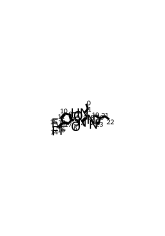 CCN/C(=N\S(=O)(=O)c1cccc(C(F)(F)F)c1)N1CC(CC)C=N1